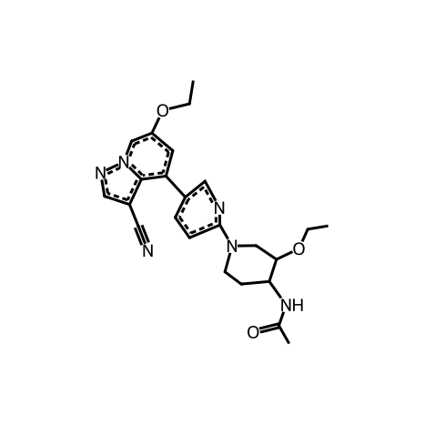 CCOc1cc(-c2ccc(N3CCC(NC(C)=O)C(OCC)C3)nc2)c2c(C#N)cnn2c1